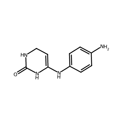 Nc1ccc(NC2=CCNC(=O)N2)cc1